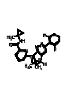 CC1(NC(=O)c2cccc([C@@]34CC[C@@H](c5cc(-c6c(F)cccc6F)nnc53)C4(C)C)n2)CC1